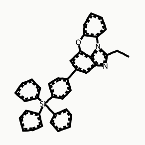 CCc1nc2cc(-c3ccc([Si](c4ccccc4)(c4ccccc4)c4ccccc4)cc3)cc3c2n1-c1ccccc1O3